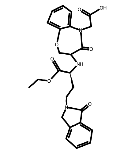 CCOC(=O)[C@H](CCN1Cc2ccccc2C1=O)NC1COc2ccccc2N(CC(=O)O)C1=O